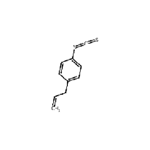 C=[C]Cc1ccc(N=C=S)cc1